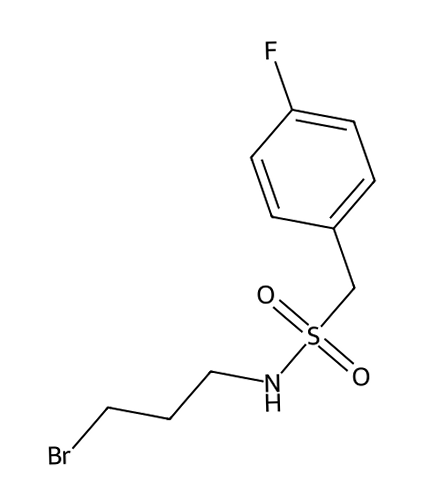 O=S(=O)(Cc1ccc(F)cc1)NCCCBr